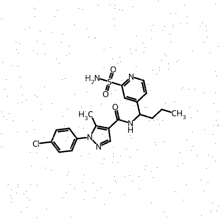 CCCC(NC(=O)c1cnn(-c2ccc(Cl)cc2)c1C)c1ccnc(S(N)(=O)=O)c1